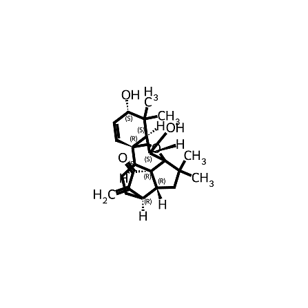 C=C1C(=O)[C@@]23[C@@H]4CC(C)(C)C25OC[C@]2(C=C[C@H](O)C(C)(C)[C@H]2[C@@H]5O)[C@@H]3CC[C@@H]14